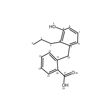 CCCc1c(O)cccc1Cc1ccccc1C(=O)O